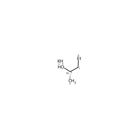 CCC[C@H](C)O.[KH]